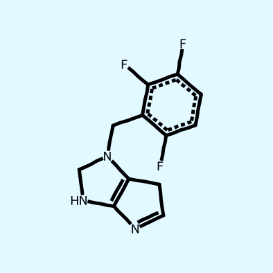 Fc1ccc(F)c(CN2CNC3=C2CC=N3)c1F